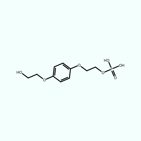 O=P(O)(O)OCCOc1ccc(OCCO)cc1